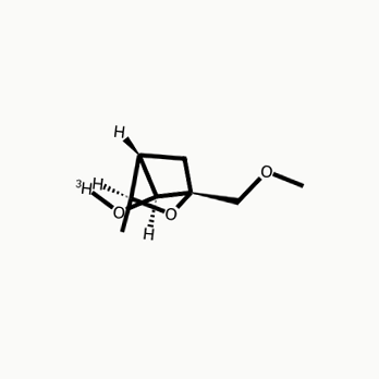 [3H]O[C@H]1[C@H]2C[C@]1(COC)O[C@H]2C